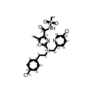 Cc1oc(N(CCc2ccc(Cl)cc2)Cc2ccc(Cl)cn2)nc1C(=O)NS(C)(=O)=O